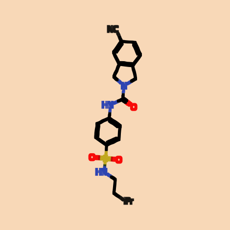 CC(C)CCNS(=O)(=O)c1ccc(NC(=O)N2Cc3ccc(C#N)cc3C2)cc1